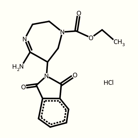 CCOC(=O)N1CCN=C(N)C(N2C(=O)c3ccccc3C2=O)C1.Cl